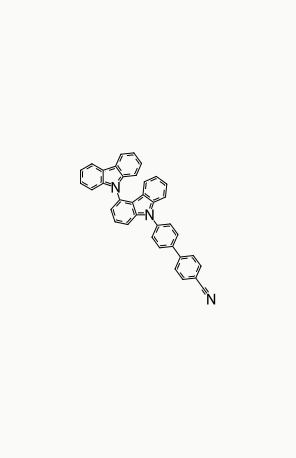 N#Cc1ccc(-c2ccc(-n3c4ccccc4c4c(-n5c6ccccc6c6ccccc65)cccc43)cc2)cc1